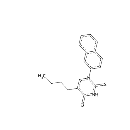 CCCCc1cn(-c2ccc3ccccc3c2)c(=S)[nH]c1=O